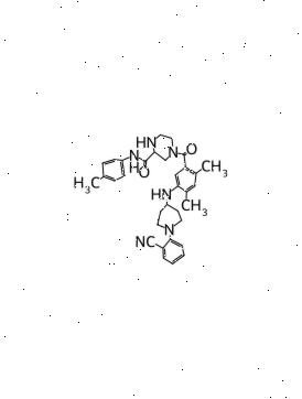 Cc1ccc(NC(=O)C2CN(C(=O)c3cc(NC4CCN(c5ccccc5C#N)CC4)c(C)cc3C)CCN2)cc1